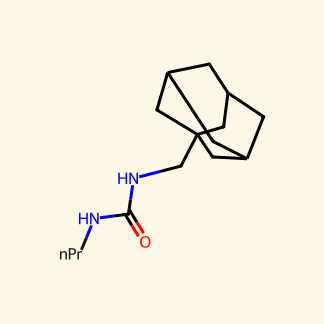 CCCNC(=O)NCC12CC3CC(CC(C3)C1)C2